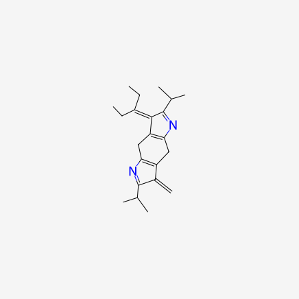 C=C1C(C(C)C)=NC2=C1CC1=C(C2)C(=C(CC)CC)C(C(C)C)=N1